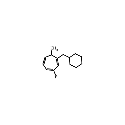 CC1C=CC=C(F)C=C1CC1CCCCC1